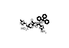 Cc1nnc(SCC2(C(=O)O)CS[C@@H]3C(NC(=O)C(=NOC(c4ccccc4)(c4ccccc4)c4ccccc4)c4nsc(N)n4)C(=O)N3C2)s1